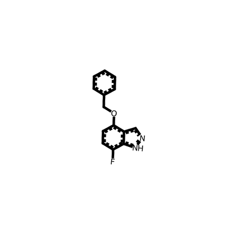 Fc1ccc(OCc2ccccc2)c2cn[nH]c12